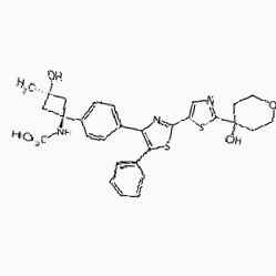 C[C@]1(O)C[C@](NC(=O)O)(c2ccc(-c3nc(-c4cnc(C5(O)CCOCC5)s4)sc3-c3ccccc3)cc2)C1